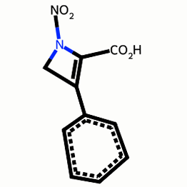 O=C(O)C1=C(c2ccccc2)CN1[N+](=O)[O-]